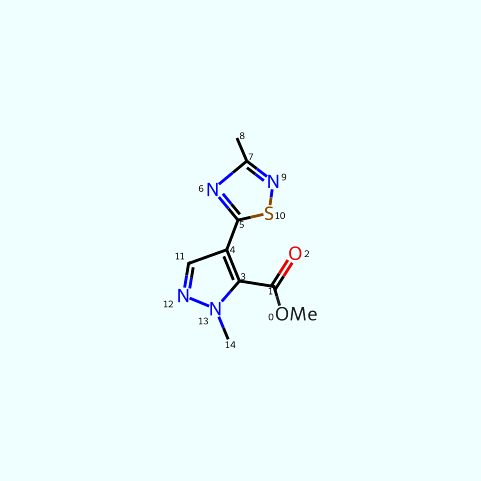 COC(=O)c1c(-c2nc(C)ns2)cnn1C